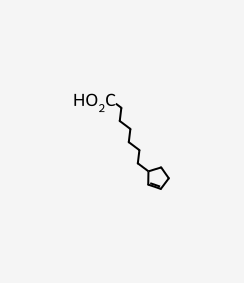 O=C(O)CCCCCCC1C=CCC1